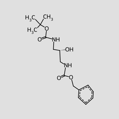 CC(C)(C)OC(=O)NC[C@H](O)CNC(=O)OCc1ccccc1